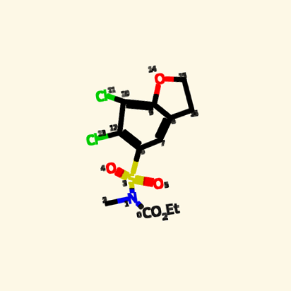 CCOC(=O)N(C)S(=O)(=O)c1cc2c(c(Cl)c1Cl)OCC2